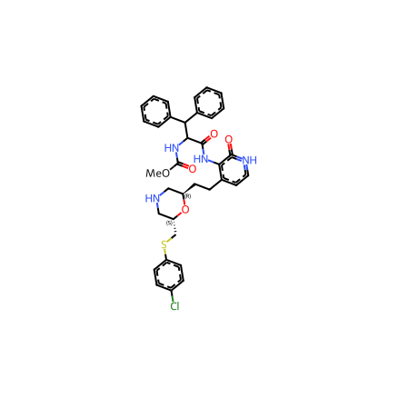 COC(=O)NC(C(=O)Nc1c(CC[C@@H]2CNC[C@@H](CSc3ccc(Cl)cc3)O2)cc[nH]c1=O)C(c1ccccc1)c1ccccc1